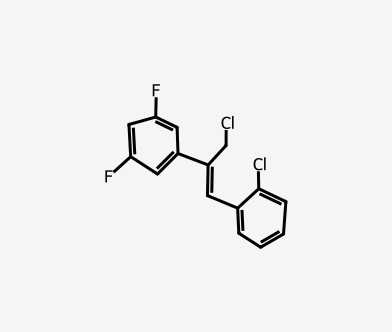 Fc1cc(F)cc(C(=Cc2ccccc2Cl)CCl)c1